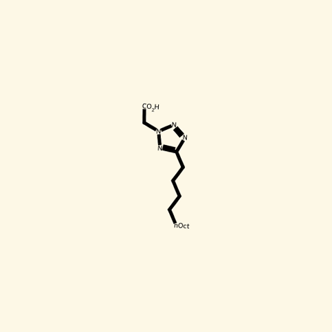 CCCCCCCCCCCCc1nnn(CC(=O)O)n1